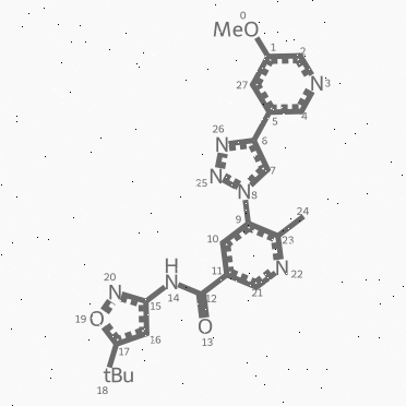 COc1cncc(-c2cn(-c3cc(C(=O)Nc4cc(C(C)(C)C)on4)cnc3C)nn2)c1